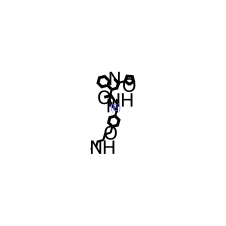 CNCCCOc1ccc(/C=N/NC(=O)c2cc(-c3ccco3)nc3ccccc23)cc1